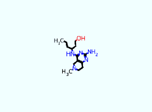 CCCC(CCO)Nc1nc(N)nc2c1CN(C)CC2